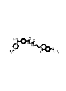 COc1ccc2c(c1)CCN(CCNC(=O)NC(=O)c1ccc(C(=N)N3CCN(C)CC3)cc1)C2=O